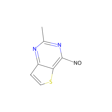 Cc1nc(N=O)c2sccc2n1